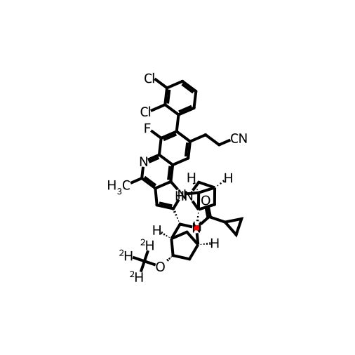 [2H]C([2H])([2H])O[C@H]1C[C@H]2C[C@@H]1[C@H](c1cc3c(C)nc4c(F)c(-c5cccc(Cl)c5Cl)c(CCC#N)cc4c3n1[C@H]1[C@H]3CN[C@@H]1C3)N2C(=O)C1CC1